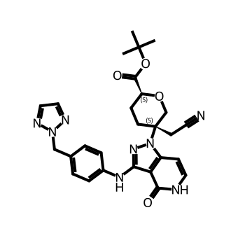 CC(C)(C)OC(=O)[C@@H]1CC[C@@](CC#N)(n2nc(Nc3ccc(Cn4nccn4)cc3)c3c(=O)[nH]ccc32)CO1